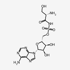 Nc1ncnc2c1ncn2[C@@H]1O[C@H](COS(=O)(=O)NC(=O)[C@@H](N)CO)[C@@H](O)[C@H]1O